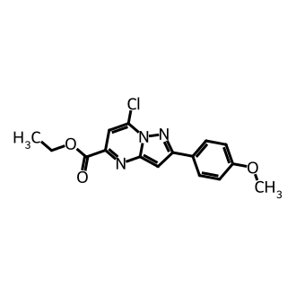 CCOC(=O)c1cc(Cl)n2nc(-c3ccc(OC)cc3)cc2n1